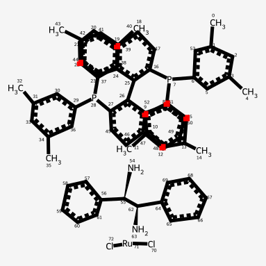 Cc1cc(C)cc(P(c2cc(C)cc(C)c2)c2ccc3ccccc3c2-c2c(P(c3cc(C)cc(C)c3)c3cc(C)cc(C)c3)ccc3ccccc23)c1.N[C@H](c1ccccc1)[C@H](N)c1ccccc1.[Cl][Ru][Cl]